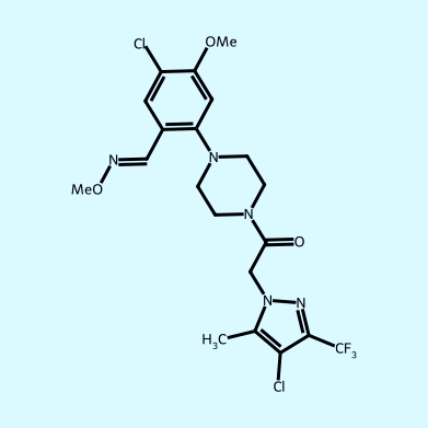 CON=Cc1cc(Cl)c(OC)cc1N1CCN(C(=O)Cn2nc(C(F)(F)F)c(Cl)c2C)CC1